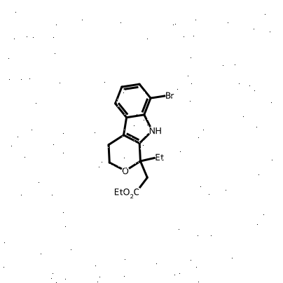 CCOC(=O)CC1(CC)OCCc2c1[nH]c1c(Br)cccc21